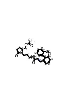 CC(=O)OC[C@@H]1CCC(=O)N1CCCNC(=O)/C=C/c1cc[c]c(Cl)c1-c1ccccc1Br